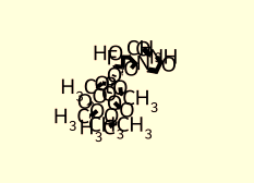 CC(C)OC(=O)OC(C)OP(=O)(OC[C@@]1(CF)O[C@@H](n2ccc(=O)[nH]c2=O)[C@@H](C)[C@@H]1O)OC(C)OC(=O)OC(C)C